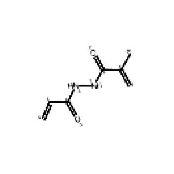 C=CC(=O)NNC(=O)C(=C)C